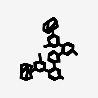 Cc1cc(-c2ccc(C)cc2-c2cccc(-c3cc(C)ccc3-c3cc(C)cc(C45CC6CC(CC(C6)C4)C5)c3)n2)cc(C23CC4CC(CC(C4)C2)C3)c1